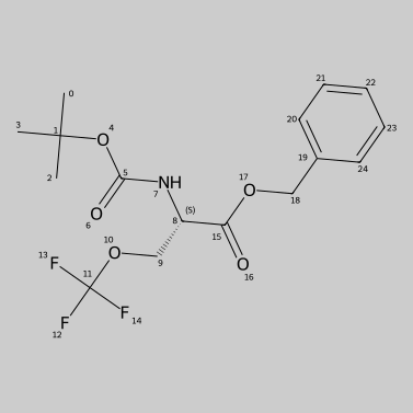 CC(C)(C)OC(=O)N[C@@H](COC(F)(F)F)C(=O)OCc1ccccc1